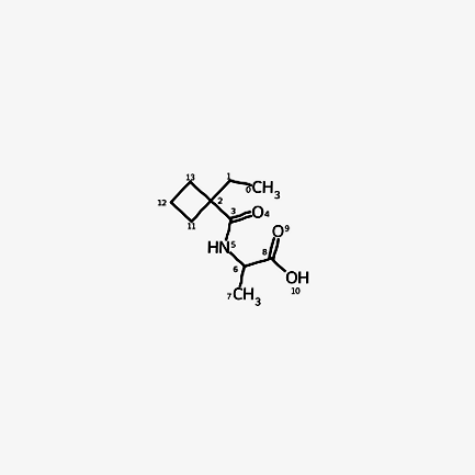 CCC1(C(=O)NC(C)C(=O)O)CCC1